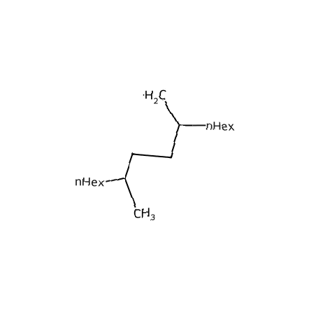 [CH2]C(CCCCCC)CCC(C)CCCCCC